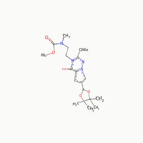 COc1nn2cc(B3OC(C)(C)C(C)(C)O3)cc2c(=O)n1CCN(C)C(=O)OC(C)(C)C